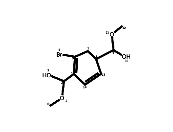 COC(O)C1=C(Br)CC(C(O)OC)C=C1